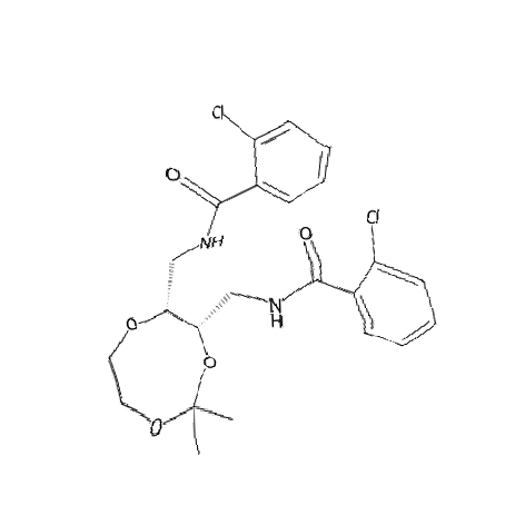 CC1(C)OCCO[C@H](CNC(=O)c2ccccc2Cl)[C@H](CNC(=O)c2ccccc2Cl)O1